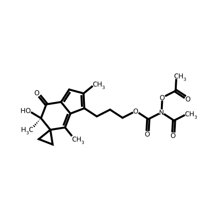 CC(=O)ON(C(C)=O)C(=O)OCCCC1=C(C)C=C2C(=O)[C@](C)(O)C3(CC3)C(C)=C21